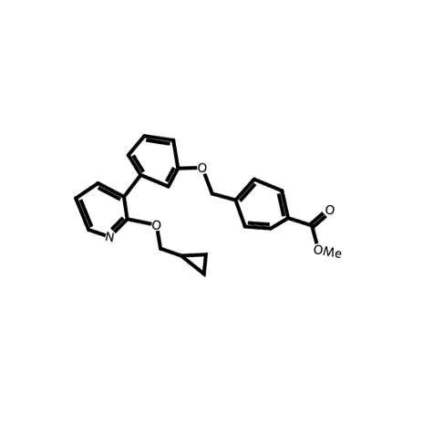 COC(=O)c1ccc(COc2cccc(-c3cccnc3OCC3CC3)c2)cc1